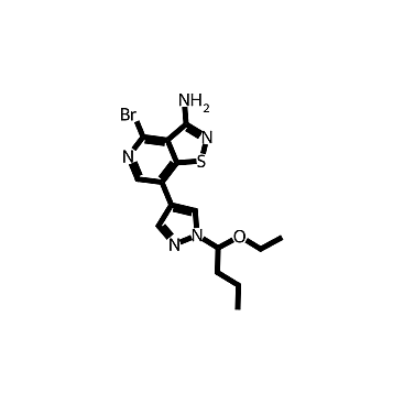 CCCC(OCC)n1cc(-c2cnc(Br)c3c(N)nsc23)cn1